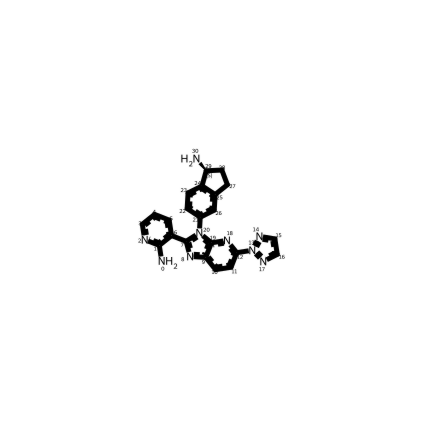 Nc1ncccc1-c1nc2ccc(-n3nccn3)nc2n1-c1ccc2c(c1)CC[C@@H]2N